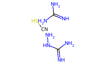 N#CS.N=C(N)N.N=C(N)NN